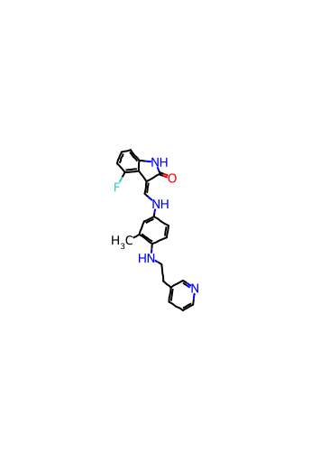 Cc1cc(NC=C2C(=O)Nc3cccc(F)c32)ccc1NCCc1cccnc1